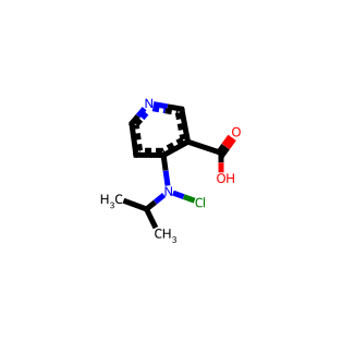 CC(C)N(Cl)c1ccncc1C(=O)O